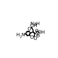 Nc1ccc2c(CC(=O)O)c(S(=O)(=O)O)c(=O)oc2c1.[NaH]